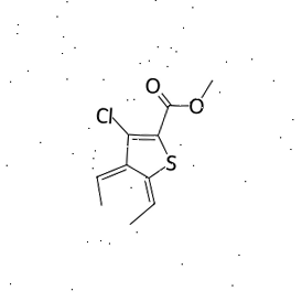 C/C=c1/sc(C(=O)OC)c(Cl)/c1=C/C